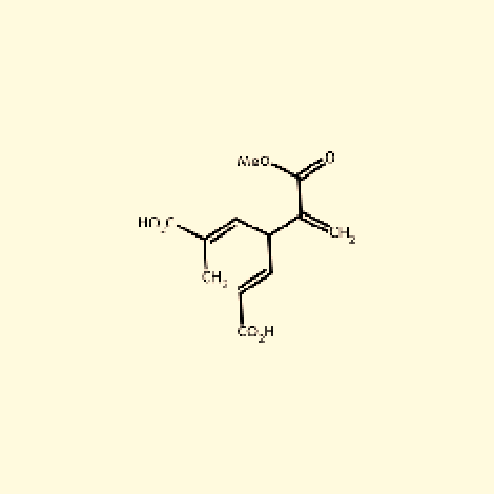 C=C(C(=O)OC)C(C=CC(=O)O)C=C(C)C(=O)O